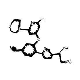 Cc1cc(Oc2cc(C#N)ccc2-c2ccc([C@@H](O)CN)cn2)cc(N2CCOCC2)n1